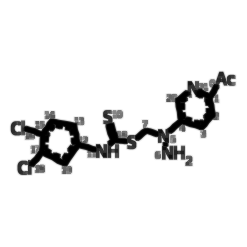 CC(=O)c1ccc(N(N)CSC(=S)Nc2ccc(Cl)c(Cl)c2)cn1